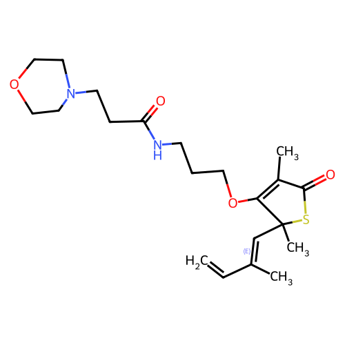 C=C/C(C)=C/C1(C)SC(=O)C(C)=C1OCCCNC(=O)CCN1CCOCC1